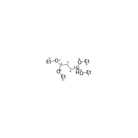 CCOC(CC[SiH](OCC)OCC)OCC